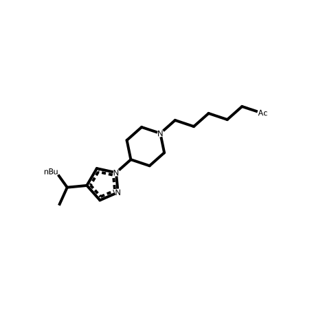 CCCCC(C)c1cnn(C2CCN(CCCCCC(C)=O)CC2)c1